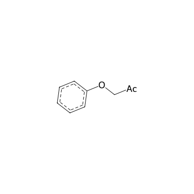 [CH]C(=O)COc1ccccc1